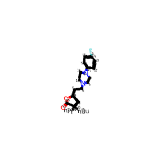 CCCCC1(CCC)CC(CCN2CCN(c3ccc(F)cc3)CC2)OC1=O